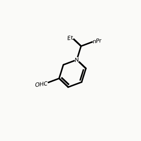 CCCC(CC)N1C=CC=C(C=O)C1